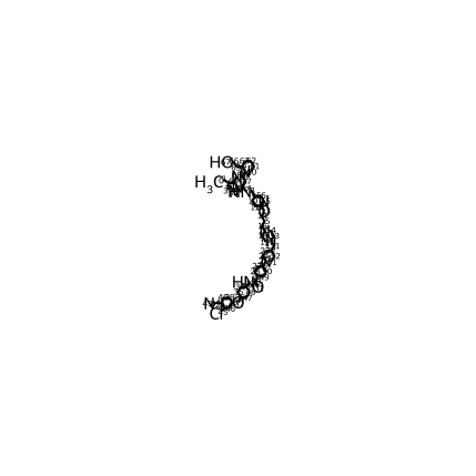 CCc1cnn2c(NCc3ccc(OCCCN4CCN(CC5CCN(c6ccc(C(=O)NC7CCC(Oc8ccc(C#N)c(Cl)c8)CC7)cc6)CC5)CC4)nc3)cc(N3CCCCC3CCO)nc12